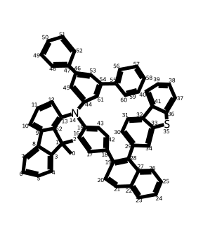 CC1(C)c2ccccc2-c2cccc(N(c3ccc(-c4ccc5ccccc5c4-c4ccc5c(c4)sc4ccccc45)cc3)c3cc(-c4ccccc4)cc(-c4ccccc4)c3)c21